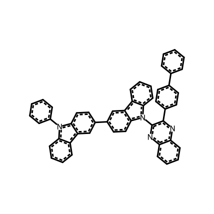 c1ccc(-c2ccc(-c3nc4ccccc4nc3-n3c4ccccc4c4cc(-c5ccc6c(c5)c5ccccc5n6-c5ccccc5)ccc43)cc2)cc1